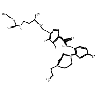 CC(C)(C)OC(=O)NCCC(NCc1ccc(C(=O)Nc2ccc(Cl)cc2N2CCN(CCC(F)(F)F)CC2)c(F)c1F)C(=O)O